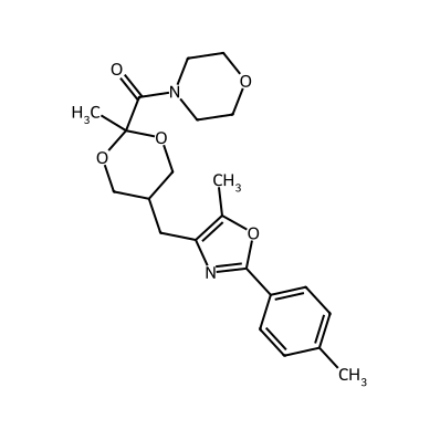 Cc1ccc(-c2nc(CC3COC(C)(C(=O)N4CCOCC4)OC3)c(C)o2)cc1